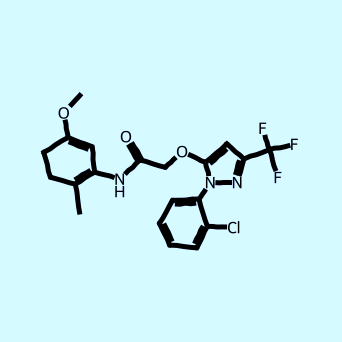 COC1=CC(NC(=O)COc2cc(C(F)(F)F)nn2-c2ccccc2Cl)=C(C)CC1